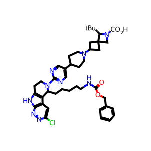 CC(C)(C)C1N(C(=O)O)CC12CC(N1CCC(c3cnc(N4CCc5[nH]c6nnc(Cl)cc6c5C4CCCCCNC(=O)OCc4ccccc4)nc3)CC1)C2